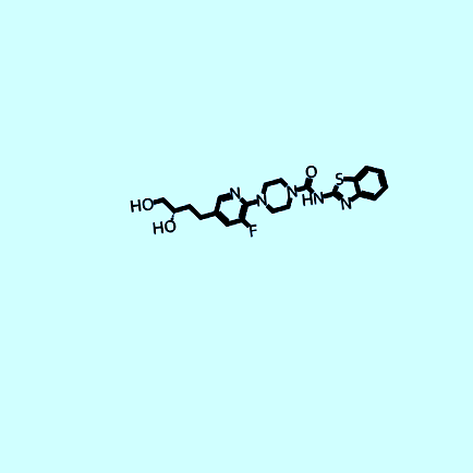 O=C(Nc1nc2ccccc2s1)N1CCN(c2ncc(CC[C@H](O)CO)cc2F)CC1